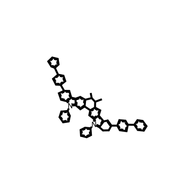 CC1c2cc3c4c(n(-c5ccccc5)c3cc2-c2cc3c(cc2C1C)c1cc(-c2ccc(-c5ccccc5)cc2)ccc1n3-c1ccccc1)CCC(c1ccc(-c2ccccc2)cc1)=C4